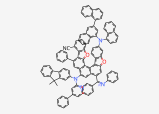 CC1(C)c2ccccc2-c2ccc(N(c3cc(-c4ccccc4)ccn3)c3cc4c(/C(=N\c5ccccc5)c5ccccc5)cc5oc6cc(N(c7cccc8ccccc78)c7cc(-c8cccc9ccccc89)cc8ccccc78)ccc6c5c4c4c3cc(-c3ccccc3)c3c4oc4cccc(C#N)c43)cc21